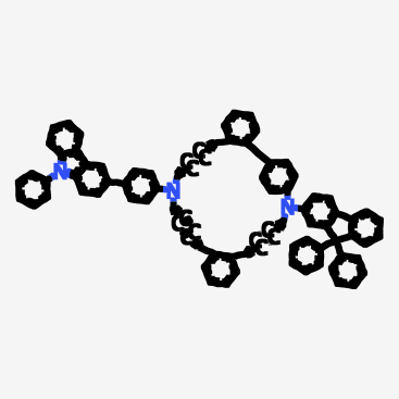 c1ccc(-n2c3ccccc3c3cc(-c4ccc(N5c6ccc(cc6)-c6ccccc6-c6ccc(cc6)N(c6ccc7c(c6)C(c6ccccc6)(c6ccccc6)c6ccccc6-7)c6ccc(cc6)-c6ccccc6-c6ccc5cc6)cc4)ccc32)cc1